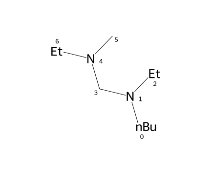 CCCCN(CC)CN(C)CC